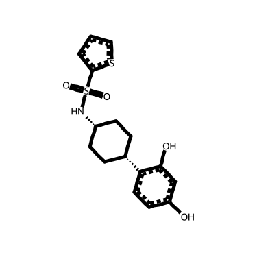 O=S(=O)(N[C@H]1CC[C@@H](c2ccc(O)cc2O)CC1)c1cccs1